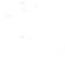 COc1ccc(CON=C(C)c2c(C)cc(=O)n(O)c2O)cc1